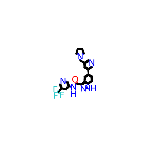 O=C(Nc1cncc(C(F)(F)F)c1)c1n[nH]c2ccc(-c3cncc(CN4CCCC4)c3)cc12